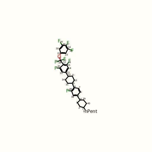 CCCCCC1CCC(c2ccc(C3CCC(c4cc(F)c(C(F)(F)Oc5cc(F)c(F)c(F)c5)c(F)c4)CC3)c(F)c2)CC1